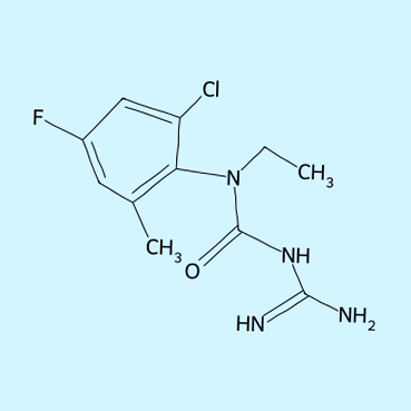 CCN(C(=O)NC(=N)N)c1c(C)cc(F)cc1Cl